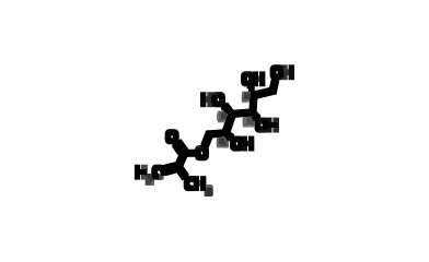 C=C(C)C(=O)OC[C@H](O)[C@@H](O)[C@H](O)[C@H](O)CO